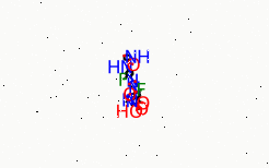 CN1COc2c(N3CCN(c4ccc(NC(=O)C5CCCN5)cc4F)CC3)c(F)cc3c(=O)c(C(=O)O)cn1c23